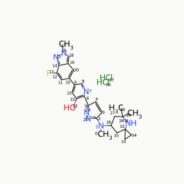 CN(c1ccc(-c2ncc(-c3cc(F)c4nn(C)cc4c3)cc2O)nn1)C1CC(C)(C)NC2(CC2)C1.Cl.Cl